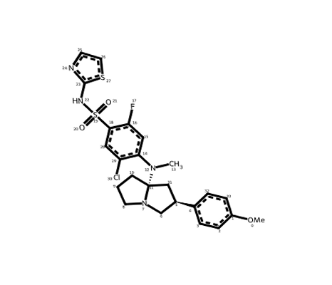 COc1ccc([C@H]2CN3CCC[C@@]3(N(C)c3cc(F)c(S(=O)(=O)Nc4nccs4)cc3Cl)C2)cc1